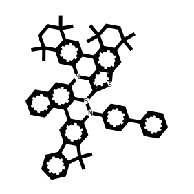 CC1(C)CCC(C)(C)c2cc3c(cc21)-c1c2c(cc4sc5c(c14)N3c1cc3ccccc3c3c1B5N(c1ccc(-c4ccccc4)cc1)c1cc4c(cc1-3)-c1ccccc1C4(C)C)C(C)(C)CCC2(C)C